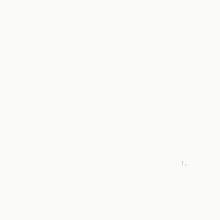 N#Cc1ccc(-c2cc(-c3ccc4c(c3)sc3ccccc34)cc(-c3cccc4sc5ccccc5c34)c2)cc1